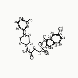 Cc1cc(N2CCC(N(C)C(=O)CCS(=O)(=O)c3sc4ccc(Cl)cc4c3C)CC2)ccn1